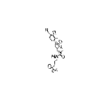 Cc1c(N2CC3CN(C(=O)NCCCC(=O)O)CCN3C2=O)ccc(C#N)c1Cl